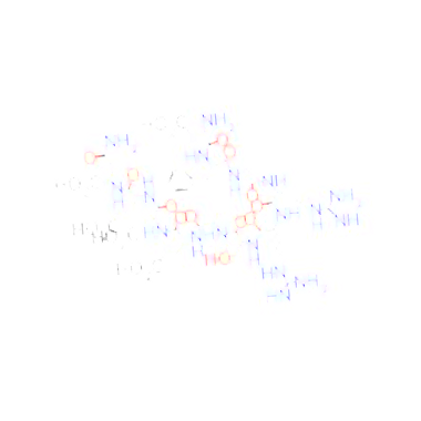 CC(NC(=O)C(CO)NC(=O)C(CCCNC(=N)N)NC(=O)C(CCCNC(=N)N)NC(=O)CNC(=O)C(Cc1ccccc1)NC(=O)C(N)CC(=O)O)C(=O)NC(CCC(=O)O)C(=O)NC(CC(=O)O)C(=O)NC(CCC(=O)O)C(=O)NC(CC(N)=O)C(=O)O